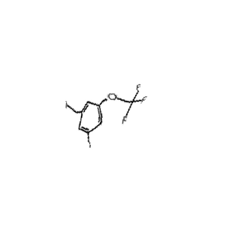 FC(F)(F)Oc1cc(I)cc(I)c1